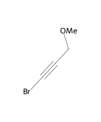 COCC#CBr